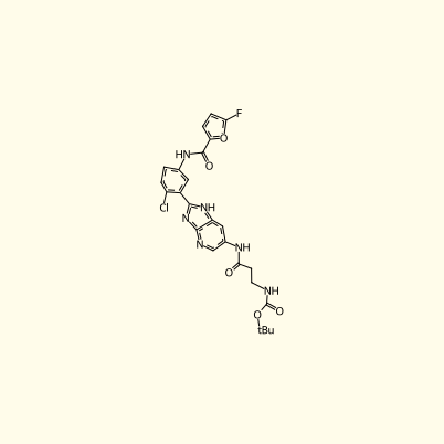 CC(C)(C)OC(=O)NCCC(=O)Nc1cnc2nc(-c3cc(NC(=O)c4ccc(F)o4)ccc3Cl)[nH]c2c1